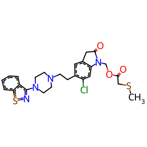 CSCC(=O)OCN1C(=O)Cc2cc(CCN3CCN(c4nsc5ccccc45)CC3)c(Cl)cc21